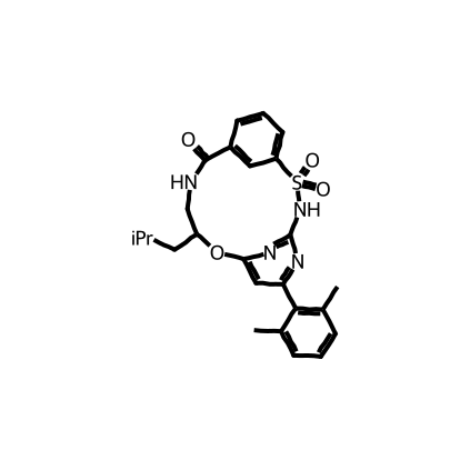 Cc1cccc(C)c1-c1cc2nc(n1)NS(=O)(=O)c1cccc(c1)C(=O)NCC(CC(C)C)O2